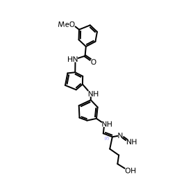 COc1cccc(C(=O)Nc2cccc(Nc3cccc(N/C=C(/CCCO)N=N)c3)c2)c1